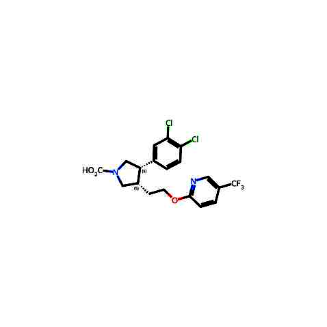 O=C(O)N1C[C@@H](CCOc2ccc(C(F)(F)F)cn2)[C@@H](c2ccc(Cl)c(Cl)c2)C1